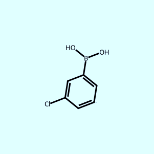 OB(O)c1c[c]cc(Cl)c1